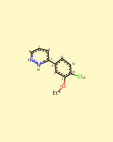 CCOc1cc(-c2cccnn2)ccc1Cl